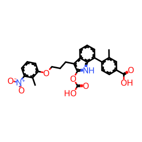 Cc1cc(C(=O)O)ccc1-c1cccc2c(CCCOc3cccc([N+](=O)[O-])c3C)c(OC(=O)O)[nH]c12